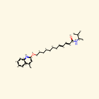 Cc1cc(OCCCCCCCC=CC=CC(=O)NC(C)C(C)C)nc2ccccc12